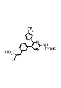 CCCCCNc1ncc(-c2cccc(C=C(CC)C(=O)O)c2)c(-n2ccc(C(F)(F)F)n2)n1